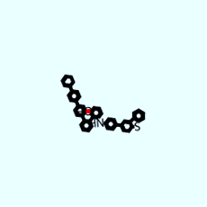 Oc1cccc(Nc2ccc(C3=CCC4Sc5ccccc5C4=C3)cc2)c1-c1ccccc1-c1ccc(-c2ccc(C3=CC=CCC3)cc2)cc1